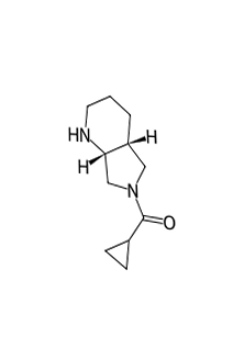 O=C(C1CC1)N1C[C@H]2CCCN[C@H]2C1